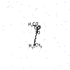 CCC(=O)Oc1ccccc1OC(=O)CCCCCCCC(C)C